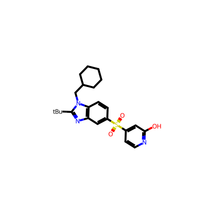 CC(C)(C)c1nc2cc(S(=O)(=O)c3ccnc(O)c3)ccc2n1CC1CCCCC1